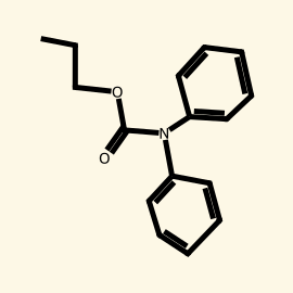 CCCOC(=O)N(c1ccccc1)c1ccccc1